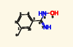 Cc1[c]ccc(C(=N)NO)c1